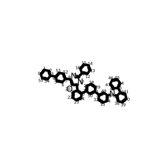 c1ccc(-c2ccc(-c3nc(-c4ccccc4)nc4c3oc3cccc(-c5cccc(-c6cccc(-n7c8ccccc8c8ccccc87)c6)c5)c34)cc2)cc1